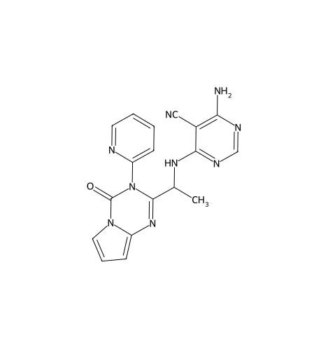 CC(Nc1ncnc(N)c1C#N)c1nc2cccn2c(=O)n1-c1ccccn1